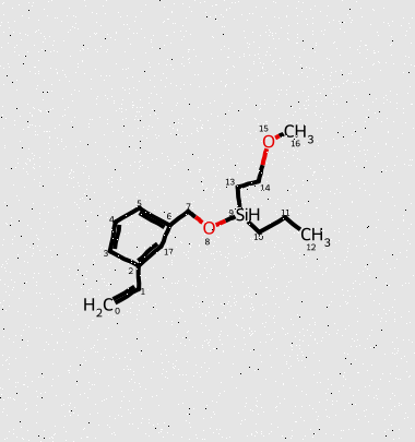 C=Cc1cccc(CO[SiH](CCC)CCOC)c1